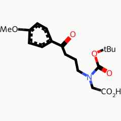 COc1ccc(C(=O)CCCN(CC(=O)O)C(=O)OC(C)(C)C)cc1